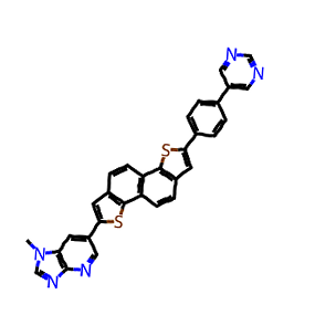 Cn1cnc2ncc(-c3cc4ccc5c(ccc6cc(-c7ccc(-c8cncnc8)cc7)sc65)c4s3)cc21